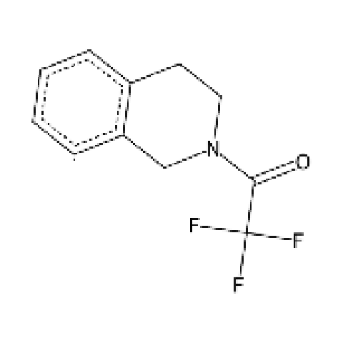 O=C(N1CCc2ccc[c]c2C1)C(F)(F)F